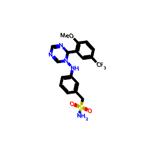 COc1ccc(C(F)(F)F)cc1C1N=CN=CN1Nc1cccc(CS(N)(=O)=O)c1